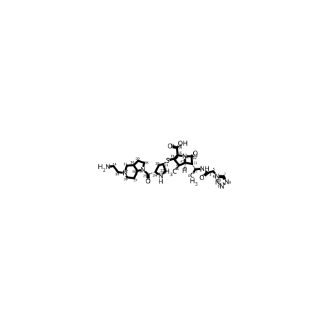 CC(NC(=O)Cn1cnnn1)[C@H]1C(=O)N2C(C(=O)O)=C(S[C@@H]3CN[C@H](C(=O)N4CCC5CN(CCN)CCC54)C3)[C@H](C)[C@H]12